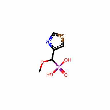 COC(c1cscn1)P(=O)(O)O